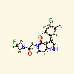 Cc1cc(-c2c[nH]c3ccn(CC(=O)N4CC(F)(F)C4)c(=O)c23)ccc1F